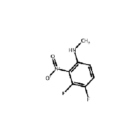 CNc1ccc(F)c(F)c1[N+](=O)[O-]